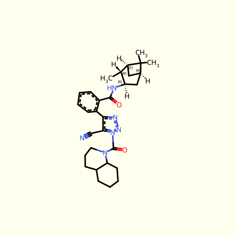 C[C@H]1[C@H](NC(=O)c2ccccc2-c2nnn(C(=O)N3CCCC4CCCCC43)c2C#N)C[C@H]2C[C@@H]1C2(C)C